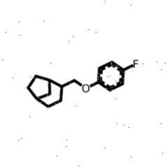 Fc1ccc(OCC2CCC3CCC2C3)cc1